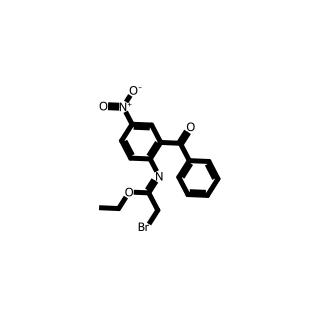 CCOC(CBr)=Nc1ccc([N+](=O)[O-])cc1C(=O)c1ccccc1